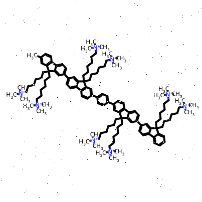 Cc1ccc2c(c1)C(CCCCCC[N+](C)(C)C)(CCCCCC[N+](C)(C)C)c1cc(-c3ccc4c(c3)C(CCCCCC[N+](C)(C)C)(CCCCCC[N+](C)(C)C)c3cc(-c5ccc(-c6ccc7c(c6)C(CCCCCC[N+](C)(C)C)(CCCCCC[N+](C)(C)C)c6cc(-c8ccc9c(c8)C(CCCCCC[N+](C)(C)C)(CCCCCC[N+](C)(C)C)c8ccccc8-9)ccc6-7)cc5)ccc3-4)ccc1-2